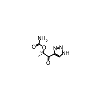 C[C@H](OC(N)=O)C(=O)c1c[nH]nn1